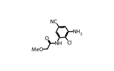 COCC(=O)Nc1cc(C#N)cc(N)c1Cl